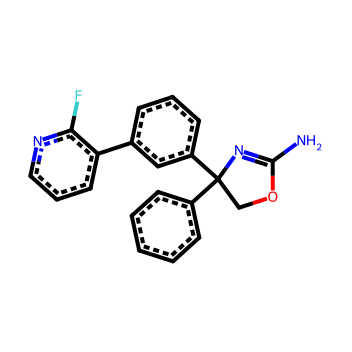 NC1=NC(c2ccccc2)(c2cccc(-c3cccnc3F)c2)CO1